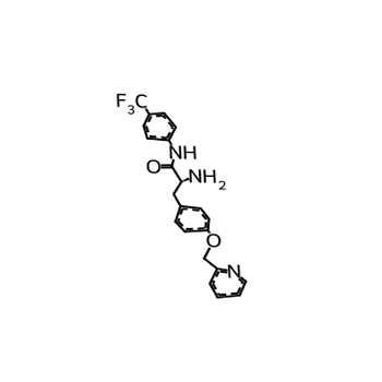 N[C@@H](Cc1ccc(OCc2ccccn2)cc1)C(=O)Nc1ccc(C(F)(F)F)cc1